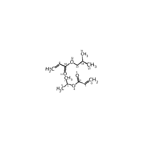 C=CC(=O)OC(C)C.C=CC(=O)OCC(C)C